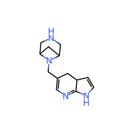 C1=CC2CC(CN3C4CNCC3C4)=CN=C2N1